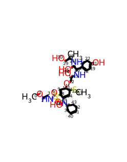 COCCNS(=O)(=O)C1=CC(OCC(O)N[C@H](C2=CC=C(O)CC2)C(O)N[C@@H](C)CO)C(SC)C=C1N(O)C1CC=CCC1